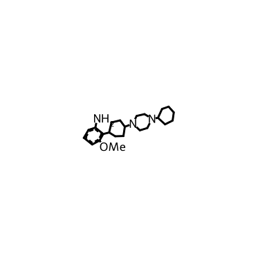 COc1cccc(N)c1C1CCC(N2CCN(C3CCCCC3)CC2)CC1